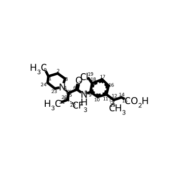 CC1CCN([C@@H](C(=O)Nc2cc([C@@H](C)CC(=O)O)ccc2Cl)[C@@H](C)C(F)(F)F)CC1